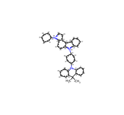 CC1(C)c2ccccc2N(c2ccc(-n3c4ccccc4c4c5ccn(-c6ccccc6)c5ccc43)cc2)c2ccccc21